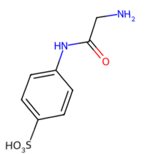 NCC(=O)Nc1ccc(S(=O)(=O)O)cc1